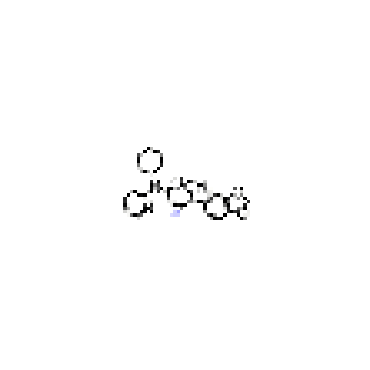 CC(/C=C\C(=O)N(c1ccccn1)C1CCCCC1)c1ccc2c(c1)OCO2